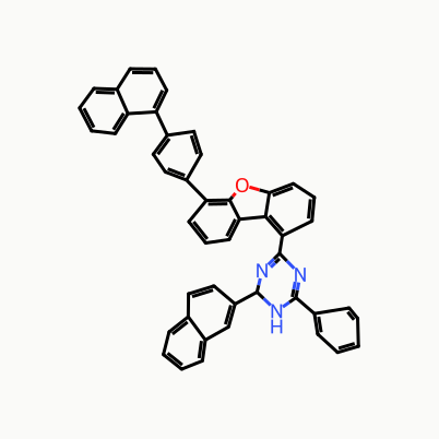 c1ccc(C2=NC(c3cccc4oc5c(-c6ccc(-c7cccc8ccccc78)cc6)cccc5c34)=NC(c3ccc4ccccc4c3)N2)cc1